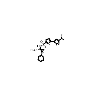 O=C(O)[C@]1(NS(=O)(=O)c2ccc(-c3cc(C(F)F)sn3)s2)C[C@@H]1c1ccccc1